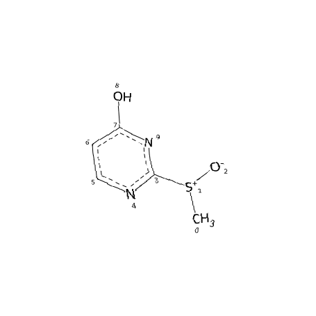 C[S+]([O-])c1nccc(O)n1